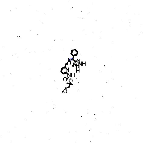 COCCC(C)(C)OC(=O)Nc1cccc(CO/N=C(\C2=NNNN2C)c2ccccc2)n1